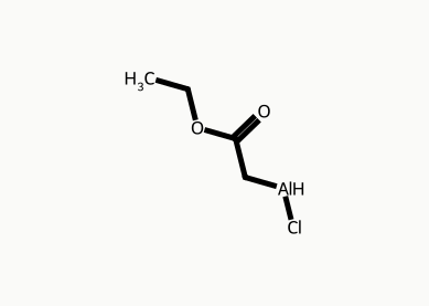 CCOC(=O)[CH2][AlH][Cl]